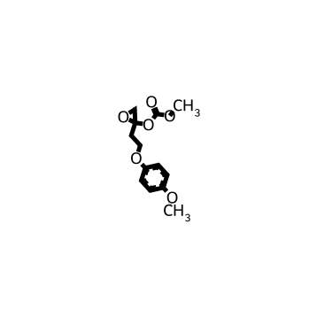 COC(=O)OC1(CCOc2ccc(OC)cc2)CO1